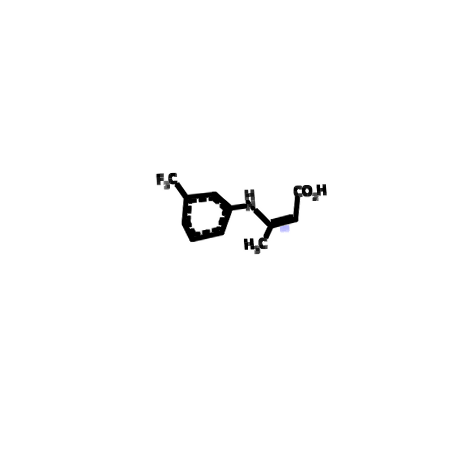 C/C(=C/C(=O)O)Nc1cccc(C(F)(F)F)c1